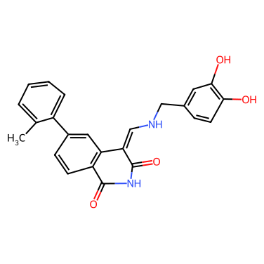 Cc1ccccc1-c1ccc2c(c1)C(=CNCc1ccc(O)c(O)c1)C(=O)NC2=O